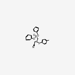 Cc1ccc(SN(CC#N)CP(=O)(Oc2ccccc2)Oc2ccccc2)cc1